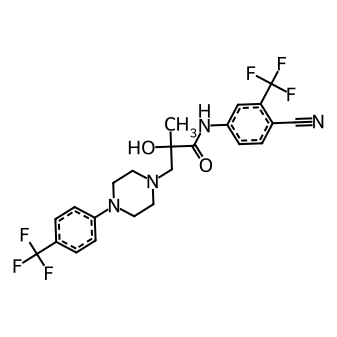 CC(O)(CN1CCN(c2ccc(C(F)(F)F)cc2)CC1)C(=O)Nc1ccc(C#N)c(C(F)(F)F)c1